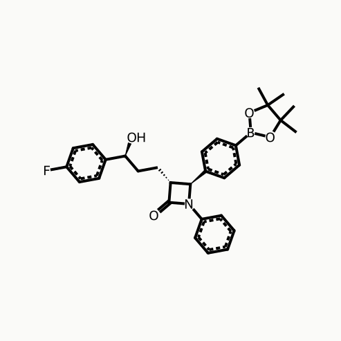 CC1(C)OB(c2ccc([C@@H]3[C@@H](CC[C@H](O)c4ccc(F)cc4)C(=O)N3c3ccccc3)cc2)OC1(C)C